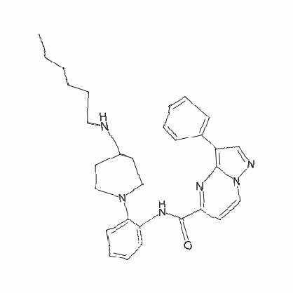 CCCCCCNC1CCN(c2ccccc2NC(=O)c2ccn3ncc(-c4ccccc4)c3n2)CC1